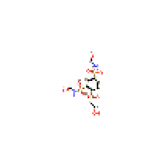 O=CNS(=O)(=O)c1ccc(S(=O)(=O)CCO)c(S(=O)(=O)NC=O)c1